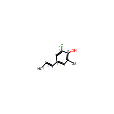 CCc1cc(/C=C/C#N)cc(Cl)c1O